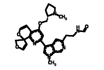 CN1CCC[C@H]1COc1cc(-c2cn(C)c3cnc(CCNC=O)cc23)nc2c1C=COC21C=COC1